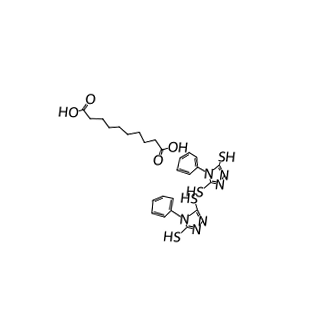 O=C(O)CCCCCCCCC(=O)O.Sc1nnc(S)n1-c1ccccc1.Sc1nnc(S)n1-c1ccccc1